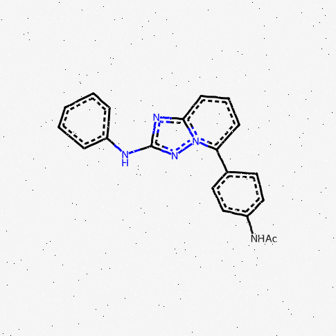 CC(=O)Nc1ccc(-c2cccc3nc(Nc4ccccc4)nn23)cc1